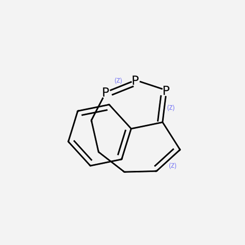 C1=C/C(c2ccccc2)=P/P=P\CCC\1